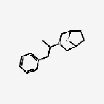 CC(Cc1ccccc1)N1CC2CCC(C1)O2